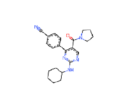 N#Cc1ccc(-c2nc(NC3CCCCC3)ncc2C(=O)N2CCCC2)cc1